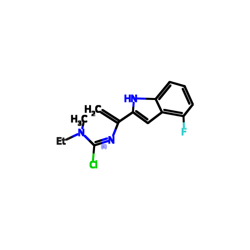 C=C(/N=C(/Cl)N(C)CC)c1cc2c(F)cccc2[nH]1